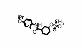 CC(C)Oc1ccc(NC(=O)C2CCCC(OS(C)(=O)=O)C2)nc1